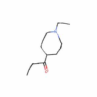 CCC(=O)C1CCN(CC)CC1